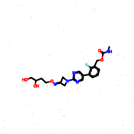 CNC(=O)OCc1cccc(-c2cnc(N3CC(=NOCCC(O)CO)C3)nc2)c1F